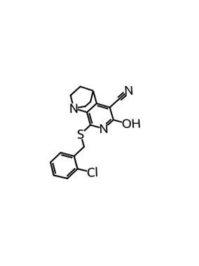 N#Cc1c(O)nc(SCc2ccccc2Cl)c2c1C1CCN2CC1